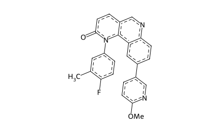 COc1ccc(-c2ccc3ncc4ccc(=O)n(-c5ccc(F)c(C)c5)c4c3c2)cn1